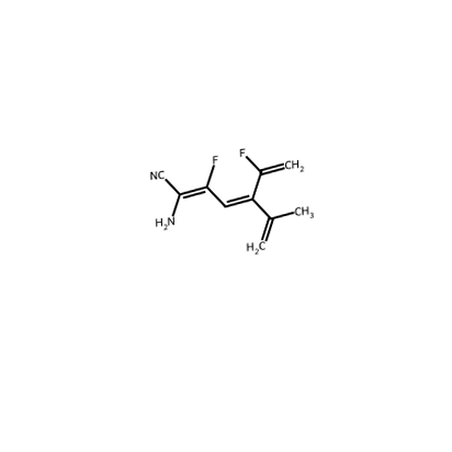 C=C(C)/C(=C/C(F)=C(\N)C#N)C(=C)F